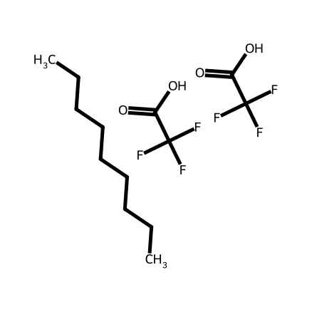 CCCCCCCCC.O=C(O)C(F)(F)F.O=C(O)C(F)(F)F